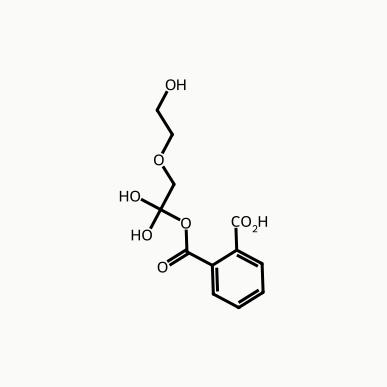 O=C(O)c1ccccc1C(=O)OC(O)(O)COCCO